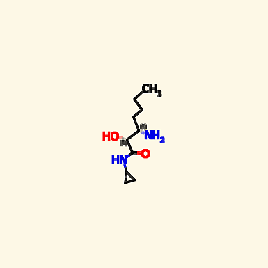 CCCC[C@H](N)[C@@H](O)C(=O)NC1CC1